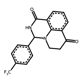 O=C1CCN2c3c1cccc3C(=O)NC2c1ccc(C(F)(F)F)cc1